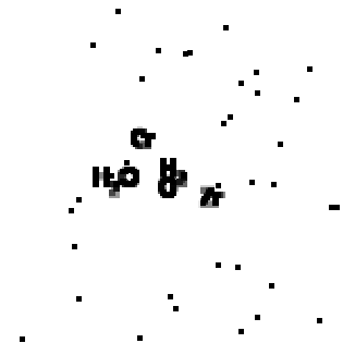 O.O.[Cr].[Zr]